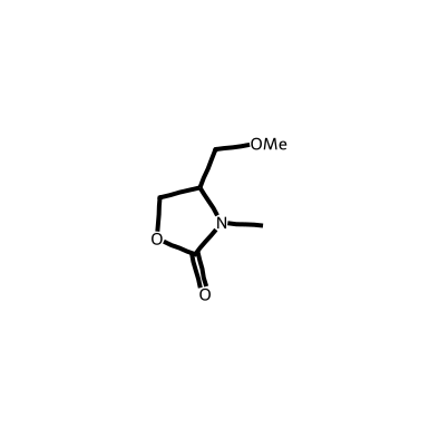 COCC1COC(=O)N1C